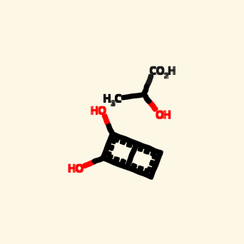 CC(O)C(=O)O.Oc1c2ccc-2c1O